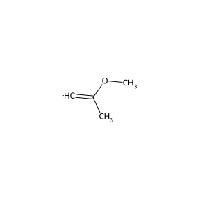 [CH]=C(C)OC